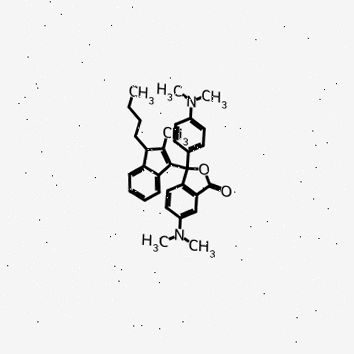 CCCCC1C(C)=C(C2(c3ccc(N(C)C)cc3)OC(=O)c3cc(N(C)C)ccc32)c2ccccc21